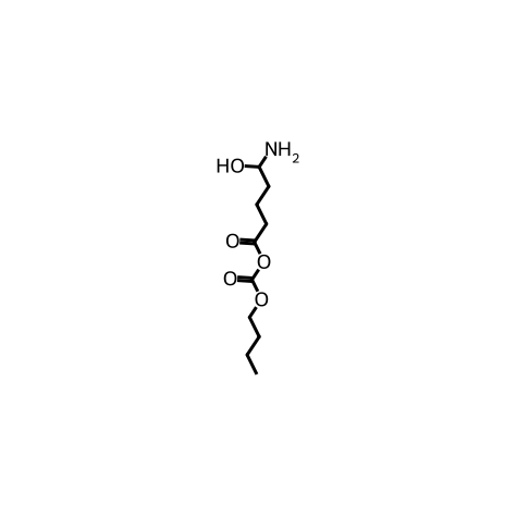 CCCCOC(=O)OC(=O)CCCC(N)O